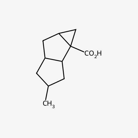 CC1CC2CC3CC3(C(=O)O)C2C1